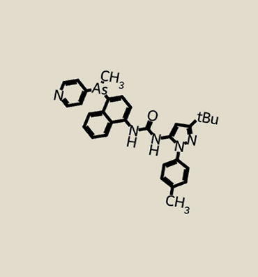 Cc1ccc(-n2nc(C(C)(C)C)cc2NC(=O)Nc2ccc([As](C)c3ccncc3)c3ccccc23)cc1